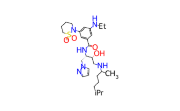 CCNc1cc(C(=O)N[C@@H](Cn2cccn2)[C@H](O)CNC(C)CCCC(C)C)cc(N2CCCCS2(=O)=O)c1